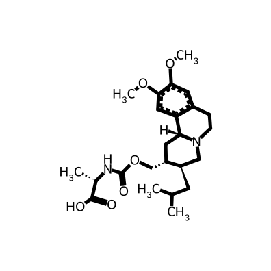 COc1cc2c(cc1OC)[C@H]1C[C@@H](COC(=O)N[C@@H](C)C(=O)O)[C@H](CC(C)C)CN1CC2